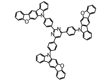 c1ccc2c(c1)oc1cc3c(cc12)c1ccccc1n3-c1ccc(-c2cc(-c3ccc(-n4c5ccccc5c5cc6c(cc54)oc4ccccc46)cc3)nc(-c3ccc(-n4c5ccccc5c5cc6c(cc54)oc4ccccc46)cc3)n2)cc1